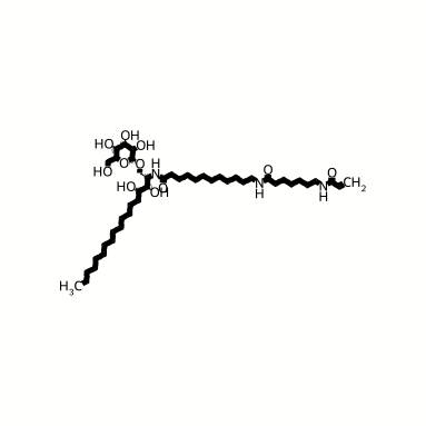 C=CC(=O)NCCCCCCC(=O)NCCCCCCCCCCCC(=O)N[C@@H](CO[C@H]1OC(CO)[C@H](O)[C@H](O)C1O)[C@H](O)[C@H](O)CCCCCCCCCCCCCC